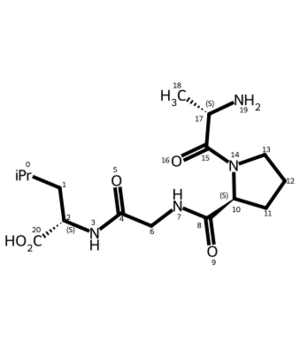 CC(C)C[C@H](NC(=O)CNC(=O)[C@@H]1CCCN1C(=O)[C@H](C)N)C(=O)O